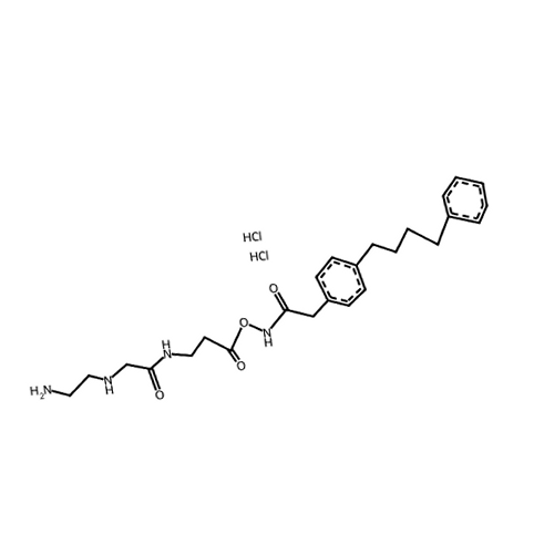 Cl.Cl.NCCNCC(=O)NCCC(=O)ONC(=O)Cc1ccc(CCCCc2ccccc2)cc1